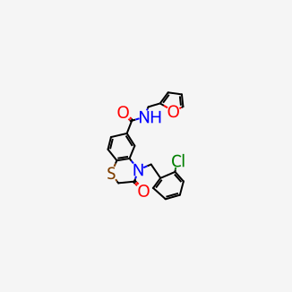 O=C(NCc1ccco1)c1ccc2c(c1)N(Cc1ccccc1Cl)C(=O)CS2